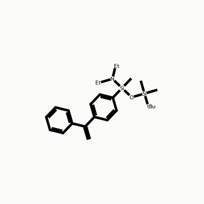 C=C(c1ccccc1)c1ccc([Si](C)(O[Si](C)(C)C(C)(C)C)N(CC)CC)cc1